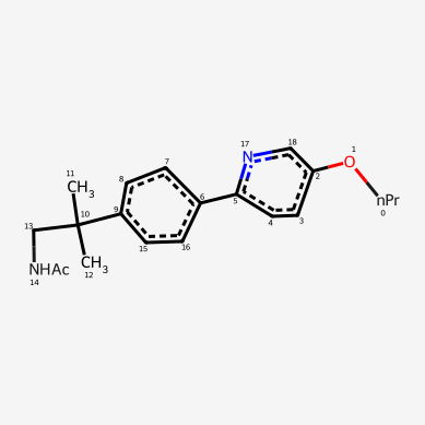 CCCOc1ccc(-c2ccc(C(C)(C)CNC(C)=O)cc2)nc1